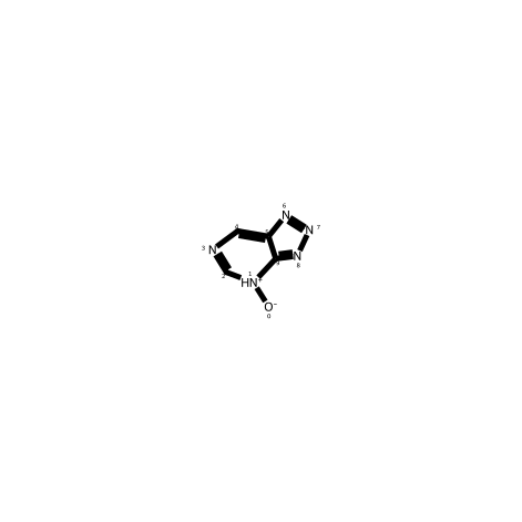 [O-][NH+]1C=NC=C2N=NN=C21